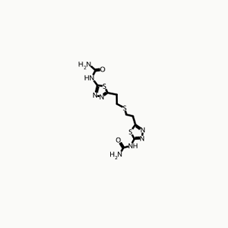 NC(=O)Nc1nnc(CCSCCc2nnc(NC(N)=O)s2)s1